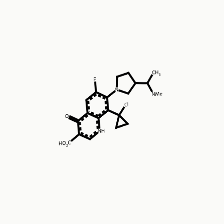 CNC(C)C1CCN(c2c(F)cc3c(=O)c(C(=O)O)c[nH]c3c2C2(Cl)CC2)C1